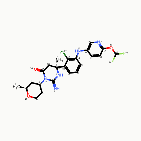 C[C@H]1C[C@@H](N2C(=N)N[C@](C)(c3cccc(Nc4ccc(OC(F)F)nc4)c3Cl)CC2=O)CCO1